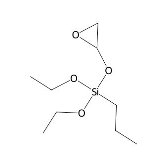 CCC[Si](OCC)(OCC)OC1CO1